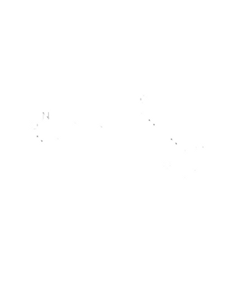 O=C(c1ccc(-c2ccc3nonc3c2)cc1)N1CCN(C(=O)C2(O)CC2)CC1